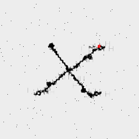 N/C(=C\N[C@H]1CO[C@H](CO)[C@H](O)[C@@H]1O)COc1cccc(C(=O)NCCCCNC(=O)CCOCC(COCCC(=O)NCCCCNC(=O)c2cccc(OC/C(N)=C/N[C@H]3CO[C@H](CO)[C@H](O)[C@@H]3O)c2)(COCCC(=O)NCCCCNC(=O)c2cccc(OCc3cn([C@H]4CO[C@H](CO)[C@H](O)[C@@H]4O)nn3)c2)NC(=O)CCCCCCCCCCC(=O)NCCN2C(=O)C=CC2=O)c1